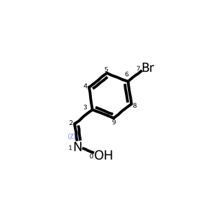 O/N=C\c1ccc(Br)cc1